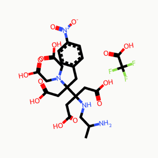 CC(N)CNC(CC(=O)O)(CC(=O)O)C(CC(=O)O)(Cc1ccc([N+](=O)[O-])cc1)N(CC(=O)O)CC(=O)O.O=C(O)C(F)(F)F